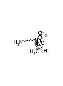 Cc1ccc(C(=O)Nc2nc(C)c(C)s2)c(NCCCCCCCN)c1